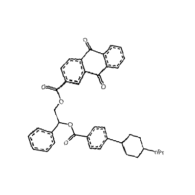 CCCC1CCC(c2ccc(C(=O)OC(COC(=O)c3ccc4c(c3)C(=O)c3ccccc3C4=O)c3ccccc3)cc2)CC1